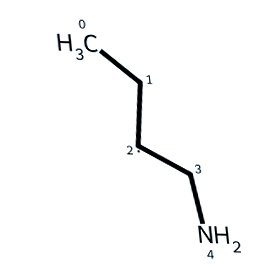 CC[CH]CN